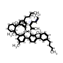 C=C(/C=C\C=C/C)N1B2c3cc(CCCC)cc(c3N)C3(C)CCCCC3(C)Cc3cc(C)cc(c32)-c2ccc3c(oc4ccc(CCCC)cc43)c21